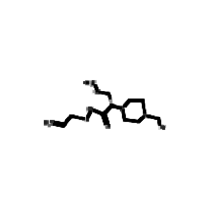 C=CCONC(=O)[C@H](CNC(=O)O)N1CCN(CC(C)C)CC1